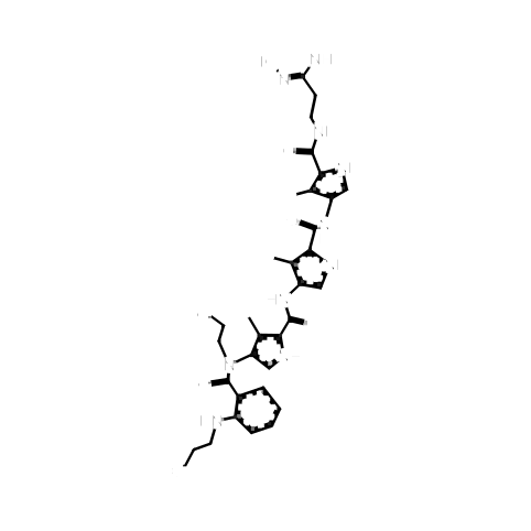 Cc1c(NC(=O)c2[nH]cc(NC(=O)c3[nH]cc(N(CCCl)C(=O)c4ccccc4NCCCl)c3C)c2C)c[nH]c1C(=O)NCCC(N)=NO